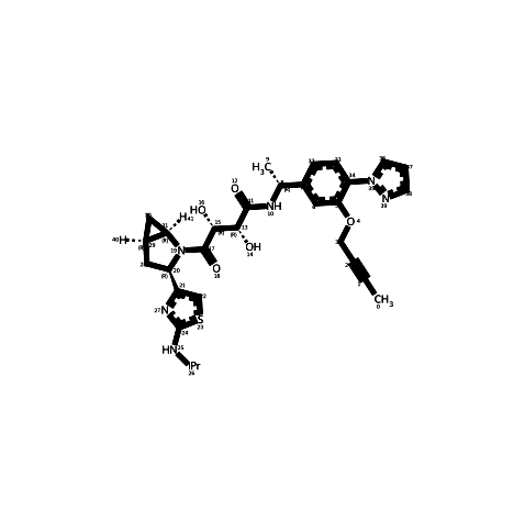 CC#CCOc1cc([C@@H](C)NC(=O)[C@H](O)[C@@H](O)C(=O)N2[C@@H](c3csc(NC(C)C)n3)C[C@H]3C[C@H]32)ccc1-n1cccn1